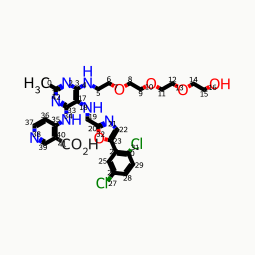 Cc1nc(NCCOCCOCCOCCO)c(NCc2ncc(-c3cc(Cl)ccc3Cl)o2)c(Nc2ccncc2C(=O)O)n1